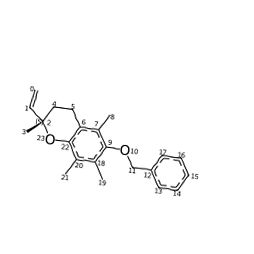 C=C[C@]1(C)CCc2c(C)c(OCc3ccccc3)c(C)c(C)c2O1